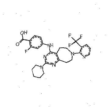 O=C(O)c1ccc(Nc2nc(N3CCCCC3)nc3c2CCN(c2ncccc2C(F)(F)F)CC3)cc1F